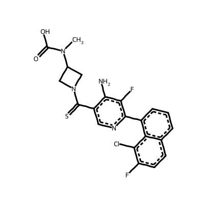 CN(C(=O)O)C1CN(C(=S)c2cnc(-c3cccc4ccc(F)c(Cl)c34)c(F)c2N)C1